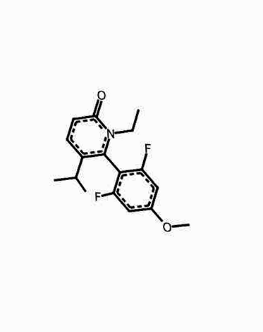 CCn1c(-c2c(F)cc(OC)cc2F)c(C(C)C)ccc1=O